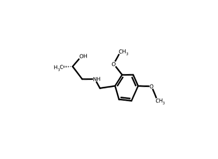 COc1ccc(CNC[C@H](C)O)c(OC)c1